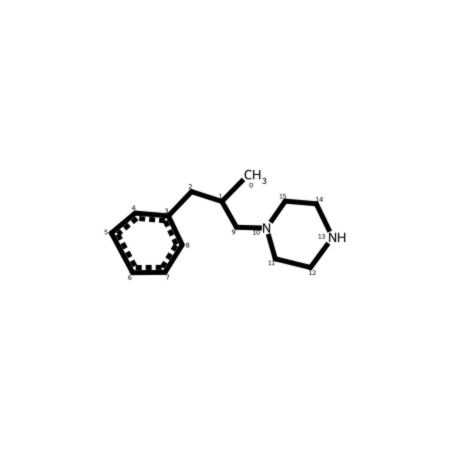 CC(Cc1ccccc1)CN1CCNCC1